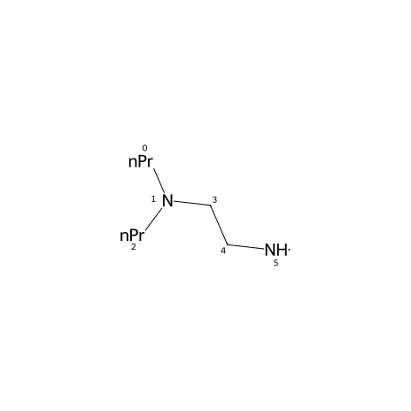 CCCN(CCC)CC[NH]